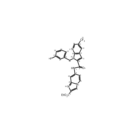 CCOC(=O)c1cn2ccc(NC(=O)c3cc4cc(C(F)(F)F)cnc4n3Cc3cccc(F)c3)cc2n1